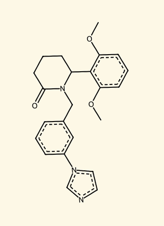 COc1cccc(OC)c1C1CCCC(=O)N1Cc1cccc(-n2ccnc2)c1